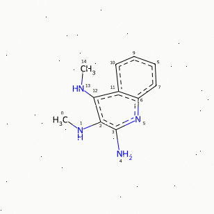 CNc1c(N)nc2ccccc2c1NC